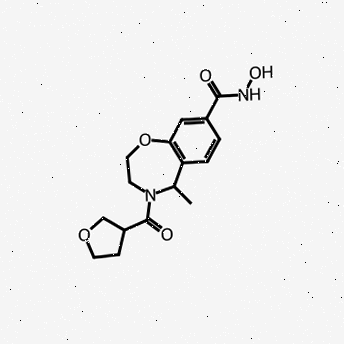 CC1c2ccc(C(=O)NO)cc2OCCN1C(=O)C1CCOC1